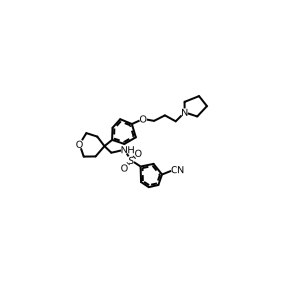 N#Cc1cccc(S(=O)(=O)NCC2(c3ccc(OCCCN4CCCC4)cc3)CCOCC2)c1